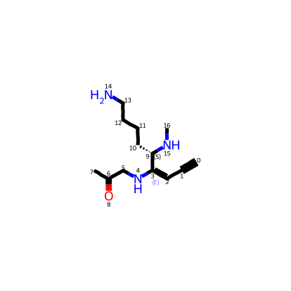 C#C/C=C(/NCC(C)=O)[C@H](CCCCN)NC